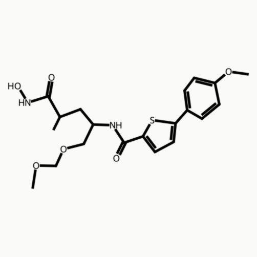 COCOCC(CC(C)C(=O)NO)NC(=O)c1ccc(-c2ccc(OC)cc2)s1